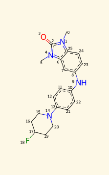 Cn1c(=O)n(C)c2cc(Nc3ccc(N4CCC(F)CC4)cc3)ccc21